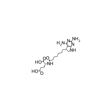 Nc1nc(N)c2c(n1)NCC2CCCCCCC(=O)N[C@@H](CCC(=O)O)C(=O)O